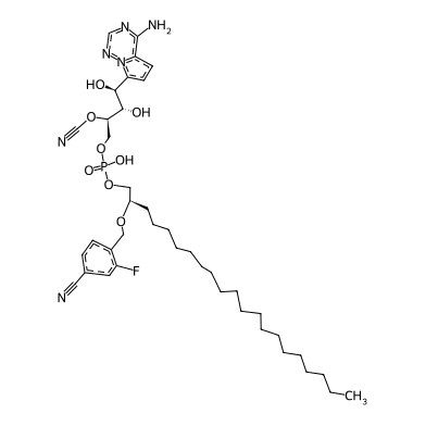 CCCCCCCCCCCCCCCCCCC[C@H](COP(=O)(O)OC[C@@H](OC#N)[C@@H](O)[C@@H](O)c1ccc2c(N)ncnn12)OCc1ccc(C#N)cc1F